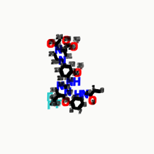 C=CC(=O)Nc1cccc(Oc2nc(Nc3ccc(N4CCN(C(C)=O)[C@H](C(=O)OC)C4)cc3OC)ncc2C(F)(F)F)c1